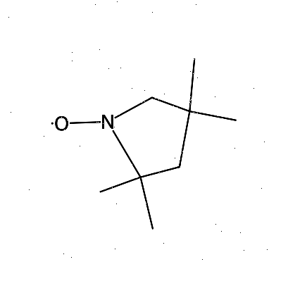 CC1(C)CN([O])C(C)(C)C1